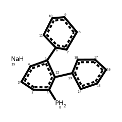 Pc1cccc(-c2ccccc2)c1-c1ccccc1.[NaH]